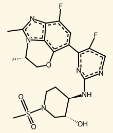 Cc1nc2c(F)cc(-c3nc(N[C@@H]4CCN(S(C)(=O)=O)C[C@H]4O)ncc3F)c3c2n1[C@@H](C)CO3